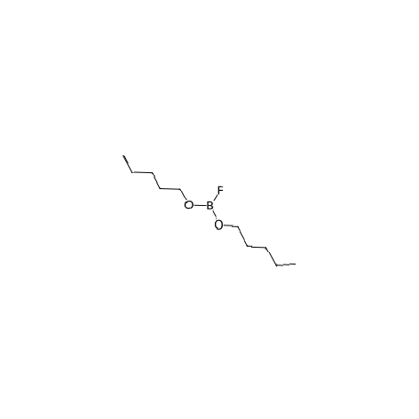 CCCCCOB(F)OCCCCC